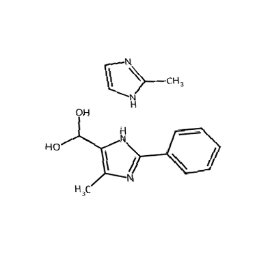 Cc1nc(-c2ccccc2)[nH]c1C(O)O.Cc1ncc[nH]1